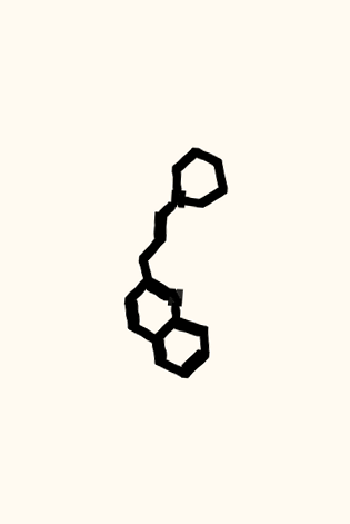 C(=CN1CCCCC1)Cc1ccc2ccccc2n1